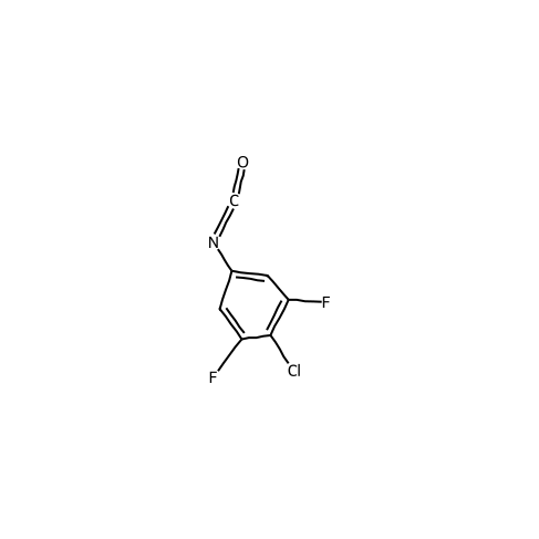 O=C=Nc1cc(F)c(Cl)c(F)c1